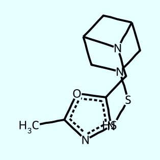 Cc1nnc(CN2C3CC2CN(SS)C3)o1